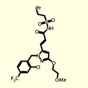 COCCOc1cc(C=CC(=O)NS(=O)(=O)CCC(C)C)n(Cc2ccc(C(F)(F)F)cc2Cl)n1